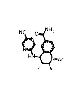 CC(=O)N1c2ccc(C(N)=O)cc2[C@H](Nc2cnc(C#N)cn2)[C@@H](C)[C@@H]1C